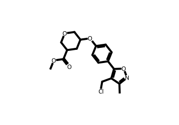 COC(=O)C1COCC(Oc2ccc(-c3onc(C)c3CCl)cc2)C1